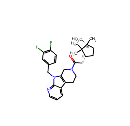 CC1(C)[C@@H](CC(=O)N2CCc3c(n(Cc4ccc(F)c(F)c4)c4ncccc34)C2)CC[C@@]1(C)C(=O)O